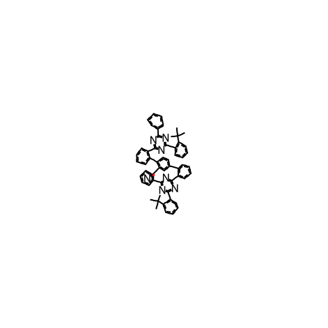 CC(C)(C)c1ccccc1-c1nc(-c2ccccc2)nc(-c2ccccc2-c2ccc(-c3ccccc3-c3nc(-c4ccccc4)nc(-c4ccccc4C(C)(C)C)n3)c(C#N)c2)n1